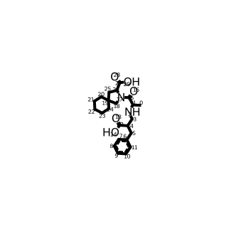 CC(NCC(Cc1ccccc1)C(=O)O)C(=O)N1CC2(CCCCC2)CC1C(=O)O